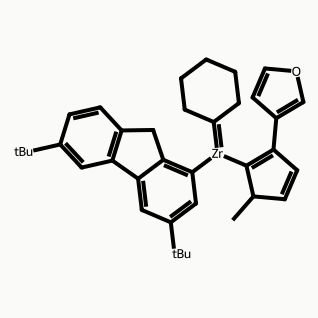 CC1C=CC(c2ccoc2)=[C]1[Zr](=[C]1CCCCC1)[c]1cc(C(C)(C)C)cc2c1Cc1ccc(C(C)(C)C)cc1-2